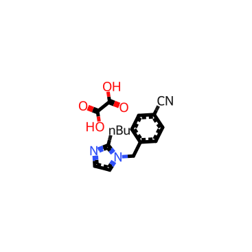 CCCCc1nccn1Cc1ccc(C#N)cc1.O=C(O)C(=O)O